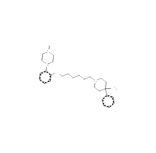 CN1CCN(c2ccccc2OCCCCCCN2CCC(C#N)(c3ccccc3)CC2)CC1